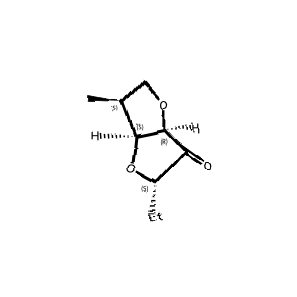 CC[C@@H]1O[C@H]2[C@@H](C)CO[C@H]2C1=O